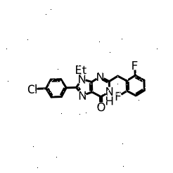 CCn1c(-c2ccc(Cl)cc2)nc2c(=O)[nH]c(Cc3c(F)cccc3F)nc21